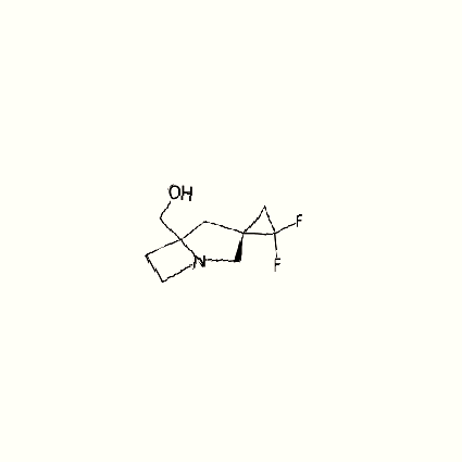 OCC12CCN1C[C@@]1(C2)CC1(F)F